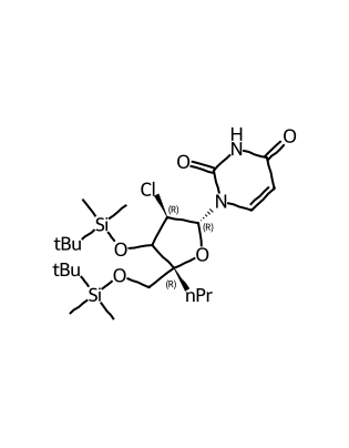 CCC[C@]1(CO[Si](C)(C)C(C)(C)C)O[C@@H](n2ccc(=O)[nH]c2=O)[C@H](Cl)C1O[Si](C)(C)C(C)(C)C